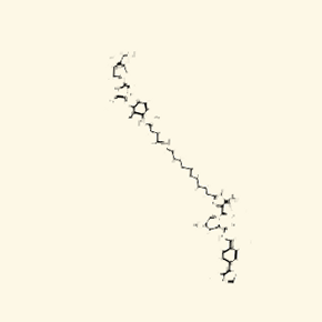 Cc1ncsc1-c1ccc([C@@H](C)NC(=O)[C@H]2C[C@H](O)CN2C(=O)C(NC(=O)CCCCCCCCCCCNC(=O)CCC(=O)Nc2cccc(Sc3ncc(N4CCC(C)(CN)CC4)nc3N)c2Cl)C(C)(C)C)cc1